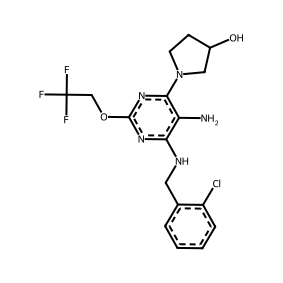 Nc1c(NCc2ccccc2Cl)nc(OCC(F)(F)F)nc1N1CCC(O)C1